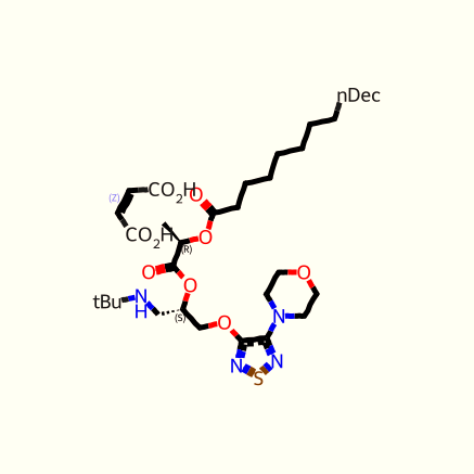 CCCCCCCCCCCCCCCCCC(=O)O[C@H](C)C(=O)O[C@@H](CNC(C)(C)C)COc1nsnc1N1CCOCC1.O=C(O)/C=C\C(=O)O